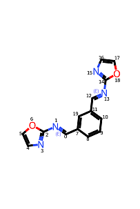 C(=N\c1ncco1)/c1cccc(/C=N/c2ncco2)c1